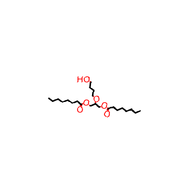 CCCCCCCC(=O)OCC(COC(=O)CCCCCCC)OCCCCO